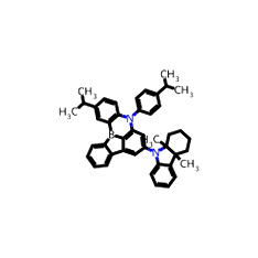 CC(C)c1ccc(N2c3ccc(C(C)C)cc3B3c4ccccc4-c4cc(N5c6ccccc6C6(C)CCCCC56C)cc2c43)cc1